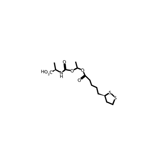 CC(OC(=O)CCCC[C@@H]1CCSS1)OC(=O)N[C@H](C)C(=O)O